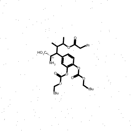 CC(C)CC(=O)OC(C)C(C)C(c1ccc(OC(=O)OCC(C)(C)C)c(OC(=O)OCC(C)(C)C)c1)[C@H](N)C(=O)O